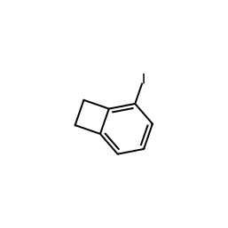 Ic1cccc2c1CC2